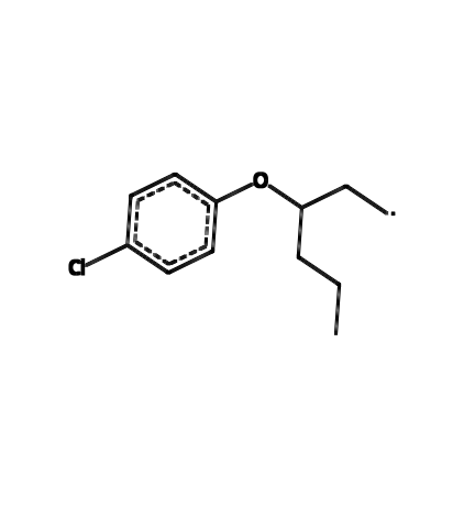 [CH2]CC(CCC)Oc1ccc(Cl)cc1